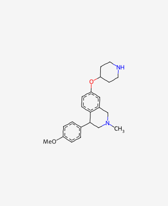 COc1ccc(C2CN(C)Cc3cc(OC4CCNCC4)ccc32)cc1